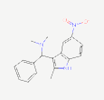 Cc1[nH]c2ccc([N+](=O)[O-])cc2c1C(c1ccccc1)N(C)C